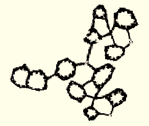 c1ccc2c(c1)Oc1ccccc1C21c2ccccc2-c2ccc(N(c3ccc(-c4ccc5ccccc5c4)cc3)c3cccc4c3-c3ccccc3C43c4ccccc4Sc4ccccc43)cc21